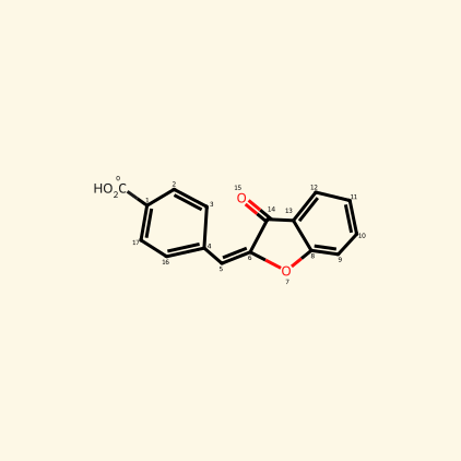 O=C(O)c1ccc(C=C2Oc3ccccc3C2=O)cc1